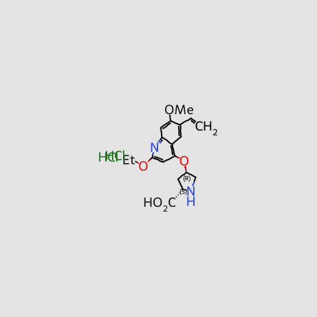 C=Cc1cc2c(O[C@H]3CN[C@H](C(=O)O)C3)cc(OCC)nc2cc1OC.Cl.Cl